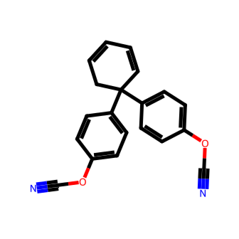 N#COc1ccc(C2(c3ccc(OC#N)cc3)C=CC=CC2)cc1